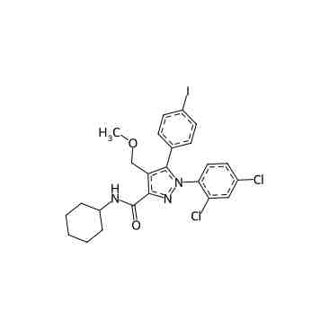 COCc1c(C(=O)NC2CCCCC2)nn(-c2ccc(Cl)cc2Cl)c1-c1ccc(I)cc1